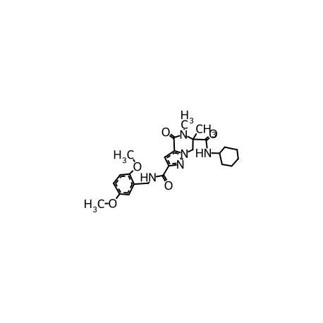 COc1ccc(OC)c(CNC(=O)c2cc3n(n2)CC(C)(C(=O)NC2CCCCC2)N(C)C3=O)c1